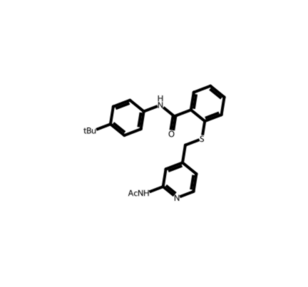 CC(=O)Nc1cc(CSc2ccccc2C(=O)Nc2ccc(C(C)(C)C)cc2)ccn1